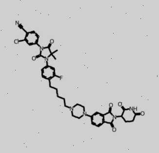 CC1(C)C(=O)N(c2ccc(C#N)c(Cl)c2)C(=O)N1c1ccc(CCCCCN2CCN(c3ccc4c(c3)C(=O)N(C3CCC(=O)NC3=O)C4=O)CC2)c(F)c1